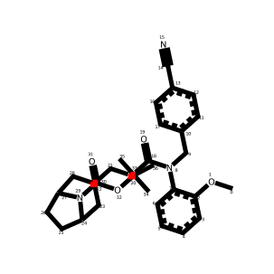 COc1ccccc1N(Cc1ccc(C#N)cc1)C(=O)OCC1CC2CCC(C1)N2C(=O)OC(C)(C)C